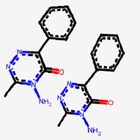 Cc1nnc(-c2ccccc2)c(=O)n1N.Cc1nnc(-c2ccccc2)c(=O)n1N